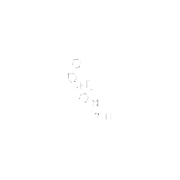 Cc1c(/C=C/c2cc(C(C)C)c(CN3CCCC[C@H]3C(=O)O)cc2C(F)(F)F)cccc1-c1ccccc1